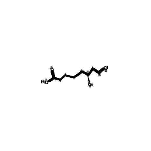 O=C(O)CCCC[C@@H](O)CCCl